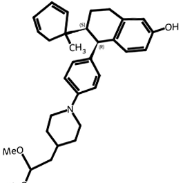 COC(CC1CCN(c2ccc([C@@H]3c4ccc(O)cc4CC[C@@H]3C3(C)C=CC=CC3)cc2)CC1)OC